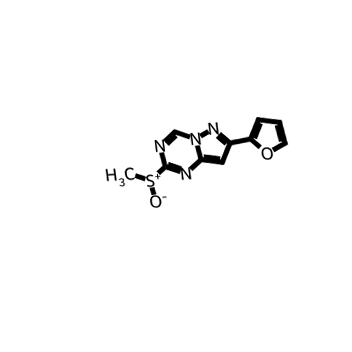 C[S+]([O-])c1ncn2nc(-c3ccco3)cc2n1